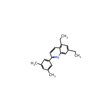 CCc1cc(CC)c2ccc(-c3cc(C)cc(C)c3)nc2c1